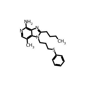 CCCCc1nc2c(N)ncc(C)c2n1CCCSc1ccccc1